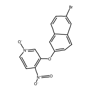 O=[N+]([O-])c1cc[n+]([O-])cc1Oc1ccc2cc(Br)ccc2c1